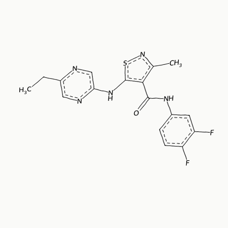 CCc1cnc(Nc2snc(C)c2C(=O)Nc2ccc(F)c(F)c2)cn1